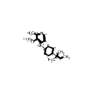 CCC(C)(C)[C@H]1CC[C@@H](Nc2ccnc(C)c2OC)CC1